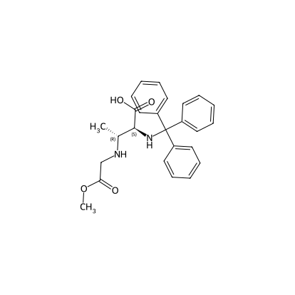 COC(=O)CN[C@H](C)[C@H](NC(c1ccccc1)(c1ccccc1)c1ccccc1)C(=O)O